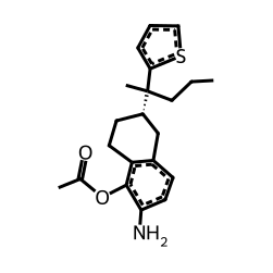 CCCC(C)(c1cccs1)[C@H]1CCc2c(ccc(N)c2OC(C)=O)C1